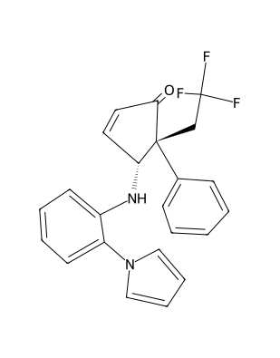 O=C1C=C[C@@H](Nc2ccccc2-n2cccc2)[C@@]1(CC(F)(F)F)c1ccccc1